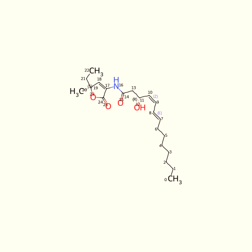 CCCCCCC/C=C/C=C\[C@H](O)CC(=O)NC1=C[C@](C)(CC)OC1=O